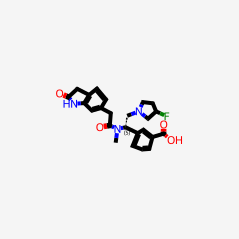 CN(C(=O)Cc1ccc2c(c1)NC(=O)C2)[C@H](CN1CCC(F)C1)c1cccc(C(=O)O)c1